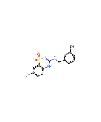 Cc1cccc(CNC2=NS(=O)(=O)c3cc(Cl)ccc3N2)c1